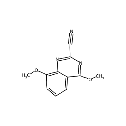 COc1nc(C#N)nc2c(OC)cccc12